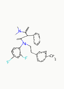 C=C(C(C(=C)N(CCc1ccc(C(F)(F)F)cc1)c1ccc(F)cc1F)c1ccccc1)N(C)C